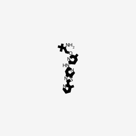 Cc1ccc(Nc2cc3nc(-c4ncccc4C)sc3cn2)nc1OC[C@H](N)C(C)(C)C